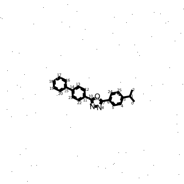 CC(C)c1ccc(-c2nnc(-c3ccc(-c4ccccc4)cc3)o2)cc1